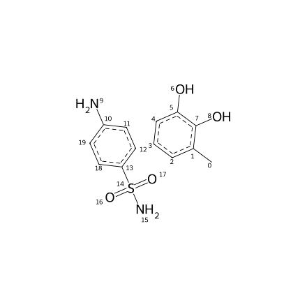 Cc1cccc(O)c1O.Nc1ccc(S(N)(=O)=O)cc1